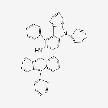 c1ccc(-c2c3ccccc3c(Nc3ccc4c(c3-c3ccccc3)c3ccccc3n4-c3ccccc3)c3ccccc23)cc1